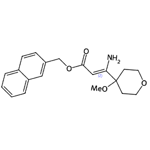 COC1(/C(N)=C/C(=O)OCc2ccc3ccccc3c2)CCOCC1